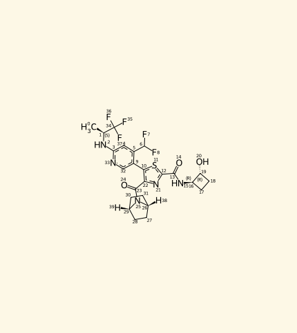 C[C@H](Nc1cc(C(F)F)c(-c2sc(C(=O)N[C@@H]3CC[C@H]3O)nc2C(=O)N2[C@H]3CC[C@@H]2CC3)cn1)C(F)(F)F